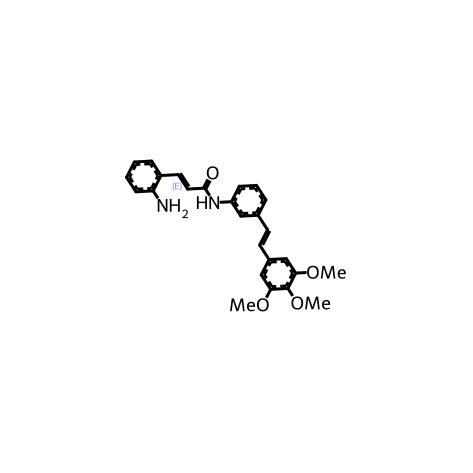 COc1cc(C=Cc2cccc(NC(=O)/C=C/c3ccccc3N)c2)cc(OC)c1OC